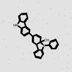 CC12C=CC(c3ccc4[nH]c5ccccc5c4c3)=CC1c1ccccc1N2c1ccccc1